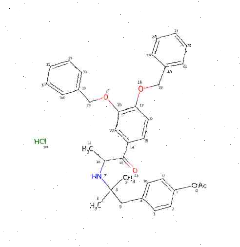 CC(=O)Oc1ccc(CC(C)(C)NC(C)C(=O)c2ccc(OCc3ccccc3)c(OCc3ccccc3)c2)cc1.Cl